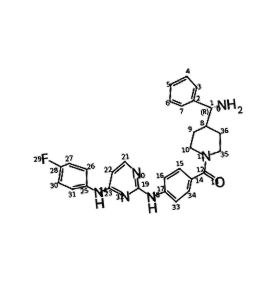 N[C@@H](c1ccccc1)C1CCN(C(=O)c2ccc(Nc3nccc(Nc4ccc(F)cc4)n3)cc2)CC1